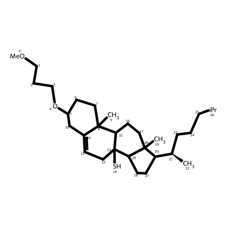 COCCCOC1CCC2(C)C(=CCC3(S)C2CCC2(C)C([C@H](C)CCCC(C)C)CCC23)C1